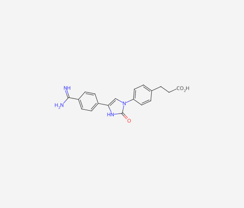 N=C(N)c1ccc(-c2cn(-c3ccc(CCC(=O)O)cc3)c(=O)[nH]2)cc1